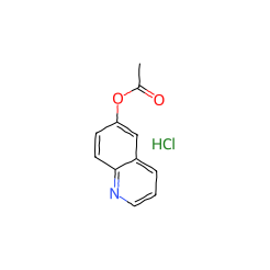 CC(=O)Oc1ccc2ncccc2c1.Cl